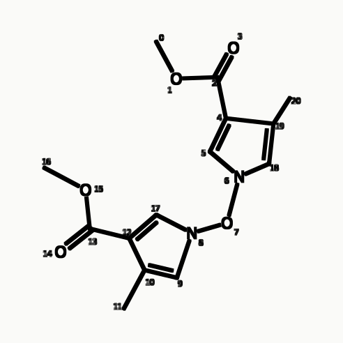 COC(=O)c1cn(On2cc(C)c(C(=O)OC)c2)cc1C